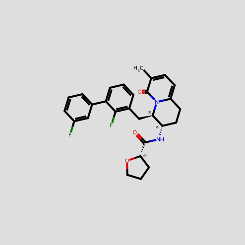 Cc1ccc2n(c1=O)[C@H](Cc1cccc(-c3cccc(F)c3)c1F)[C@@H](NC(=O)[C@@H]1CCCO1)CC2